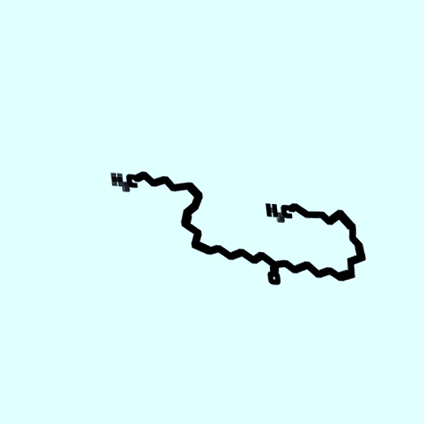 CCCCC/C=C\C/C=C\C/C=C\CCCCCC(=O)CCCCC/C=C\C/C=C\C/C=C\CCCCC